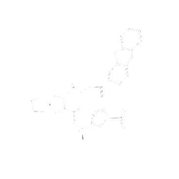 C[C@@H](NC(=O)C1CC2(CN1C(=O)CNC(=O)c1ccc3cc4ccccc4cc3c1)OCCO2)c1cc(C(=N)N)cs1